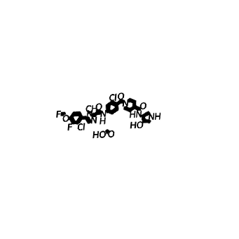 Cn1c(-c2ccc(OCF)c(F)c2Cl)cnc1C(=O)Nc1ccc(C(=O)N2CCC(C(=O)N[C@@H]3CNC[C@H]3O)CC2)c(Cl)c1.O=CO